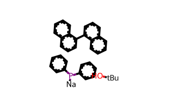 CC(C)(C)O.[Na][P](c1ccccc1)c1ccccc1.c1ccc2c(-c3cccc4ccccc34)cccc2c1